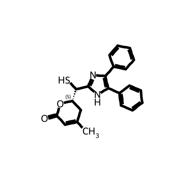 CC1=CC(=O)O[C@H](C(S)c2nc(-c3ccccc3)c(-c3ccccc3)[nH]2)C1